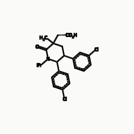 CC(C)N1C(=O)C(C)(CC(=O)O)CC(c2cccc(Cl)c2)C1c1ccc(Cl)cc1